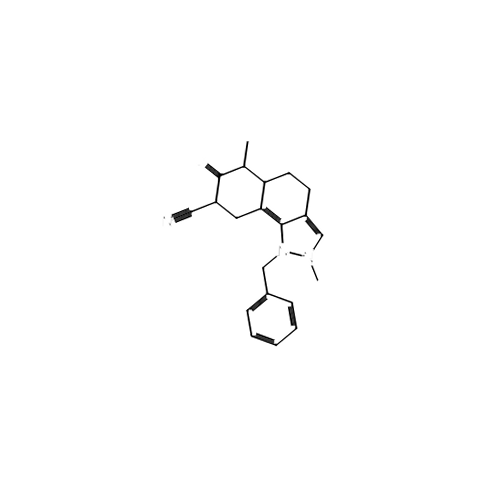 CC1C(=O)C(C#N)CC2=C3C(=CN(C)N3Cc3ccccc3)CCC21